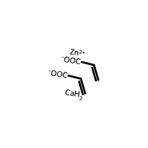 C=CC(=O)[O-].C=CC(=O)[O-].[CaH2].[Zn+2]